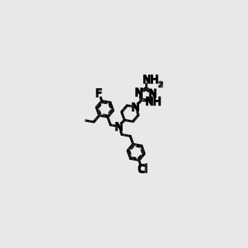 CCc1cc(F)ccc1CN(CCc1ccc(Cl)cc1)C1CCN(c2nc(N)n[nH]2)CC1